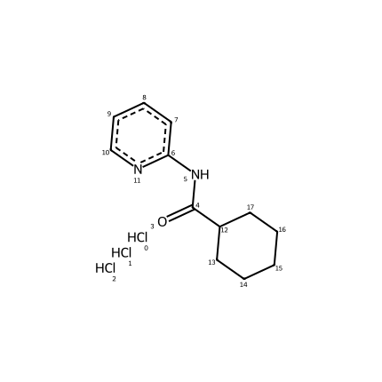 Cl.Cl.Cl.O=C(Nc1ccccn1)C1CCCCC1